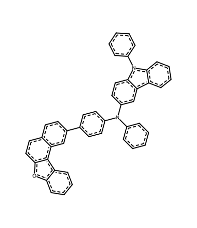 c1ccc(N(c2ccc(-c3ccc4ccc5oc6ccccc6c5c4c3)cc2)c2ccc3c(c2)c2ccccc2n3-c2ccccc2)cc1